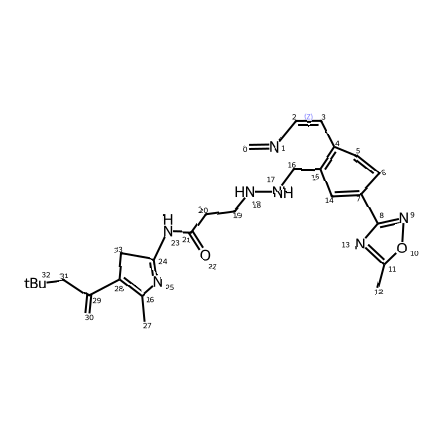 C=N/C=C\c1ccc(-c2noc(C)n2)cc1CNNCCC(=O)NC1=NC(C)=C(C(=C)CC(C)(C)C)C1